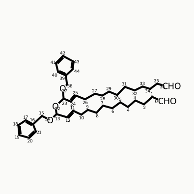 O=CCCCCCCCCCCC=CC(OCc1ccccc1)OC(C=CCCCCCCCCCCC=O)OCc1ccccc1